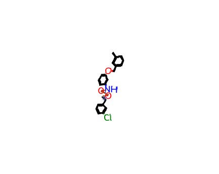 Cc1cccc(COc2cccc(NS(=O)(=O)/C=C/c3cccc(Cl)c3)c2)c1